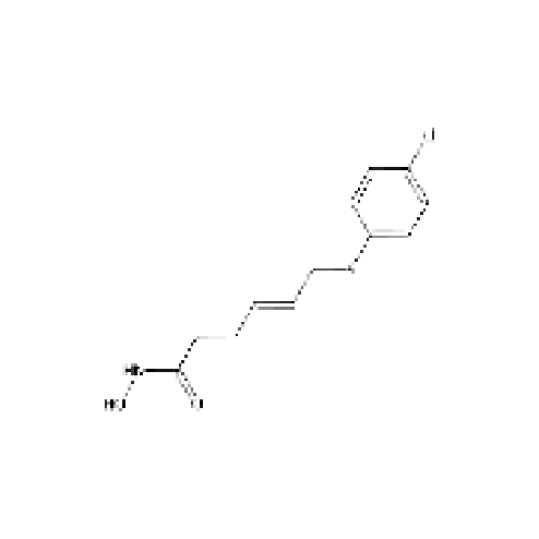 O=C(C=CC=CCSc1ccc(Cl)cc1)NO